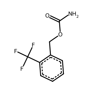 NC(=O)OCc1ccccc1C(F)(F)F